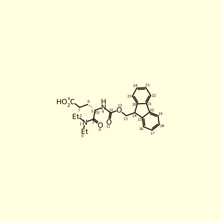 CCN(CC)C(=O)[C@H](CCC(=O)O)NC(=O)OCC1c2ccccc2-c2ccccc21